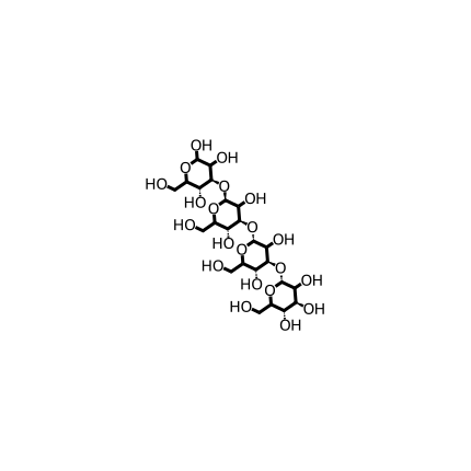 OCC1O[C@H](O[C@@H]2C(O)[C@@H](O[C@@H]3C(O)[C@H](O[C@@H]4C(O)C(O)OC(CO)[C@H]4O)OC(CO)[C@H]3O)OC(CO)[C@H]2O)C(O)[C@@H](O)[C@@H]1O